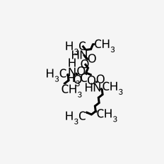 CCCC(C)CCCCC(C)NC(=O)OCC(C)(COC(=O)NC(C)CCC)OC(=O)NC(C)CCC